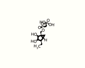 CC[C@H]1C(O)C(O)[C@]2(COP(=O)(O)CP(=O)(O)O)C[C@H]12